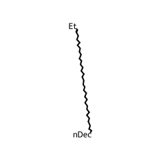 CCC=CCCCCCCCCCCCCCCCCCCCCCCCCCCCCCCCCCCCCCCCCC